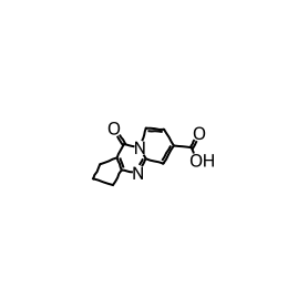 O=C(O)c1ccn2c(=O)c3c(nc2c1)CCC3